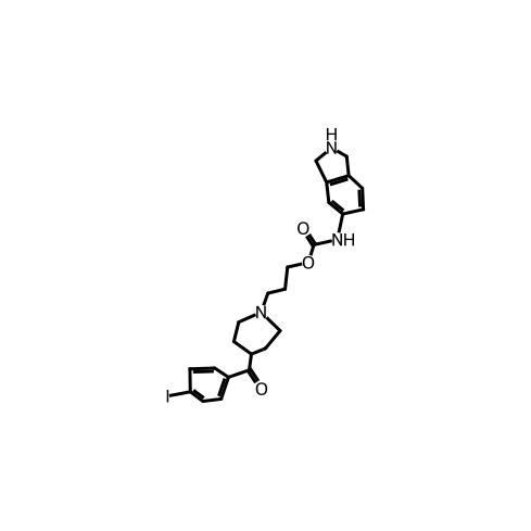 O=C(Nc1ccc2c(c1)CNC2)OCCCN1CCC(C(=O)c2ccc(I)cc2)CC1